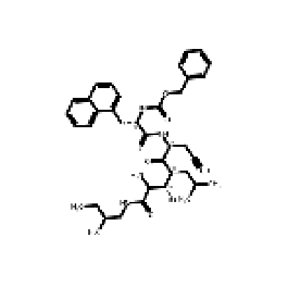 C#CC[C@H](NC(=O)[C@H](Cc1cccc2ccccc12)NC(=O)OCc1ccccc1)C(=O)[C@@H](CC(C)C)[C@H](O)C(N)C(=O)NCC(C)CC